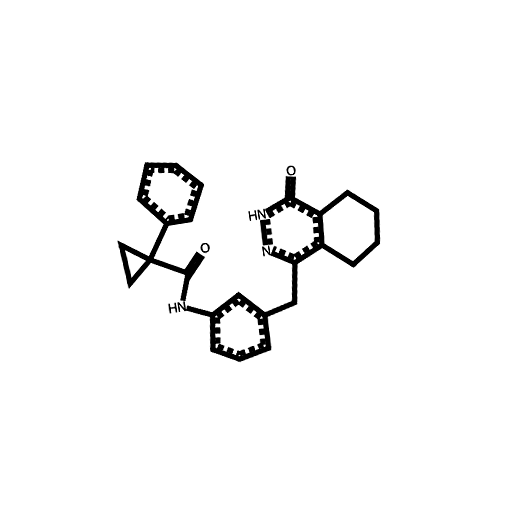 O=C(Nc1cccc(Cc2n[nH]c(=O)c3c2CCCC3)c1)C1(c2ccccc2)CC1